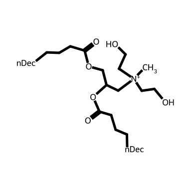 CCCCCCCCCCCCCC(=O)OCC(C[N+](C)(CCO)CCO)OC(=O)CCCCCCCCCCCCC